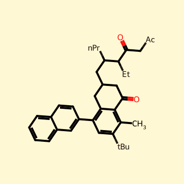 CCCC(CC1CC(=O)c2c(C)c(C(C)(C)C)cc(-c3ccc4ccccc4c3)c2C1)C(CC)C(=O)CC(C)=O